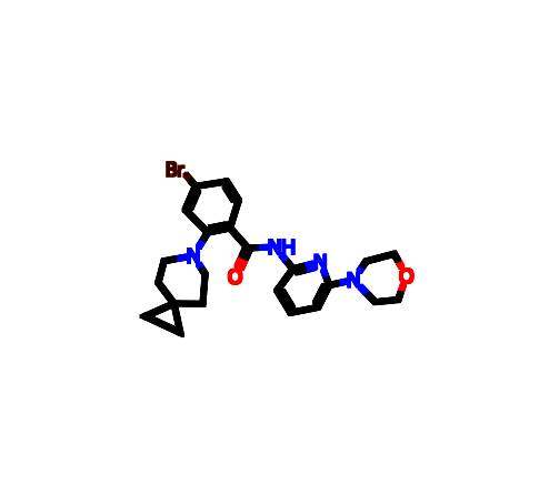 O=C(Nc1cccc(N2CCOCC2)n1)c1ccc(Br)cc1N1CCC2(CC1)CC2